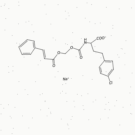 O=C(C=Cc1ccccc1)OCOC(=O)NC(CCc1ccc(Cl)cc1)C(=O)[O-].[Na+]